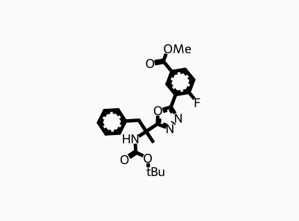 COC(=O)c1ccc(F)c(-c2nnc(C(C)(Cc3ccccc3)NC(=O)OC(C)(C)C)o2)c1